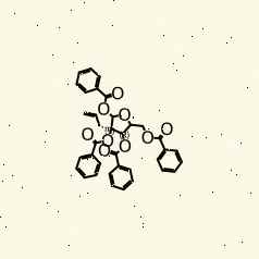 C=CC[C@]1(OC(=O)c2ccccc2)C(OC(=O)c2ccccc2)OC(COC(=O)c2ccccc2)[C@H]1OC(=O)c1ccccc1